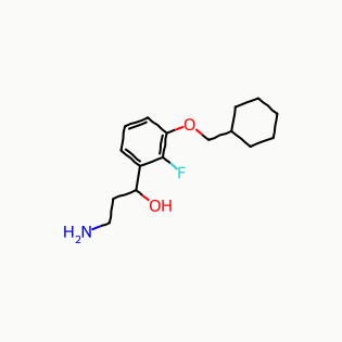 NCCC(O)c1cccc(OCC2CCCCC2)c1F